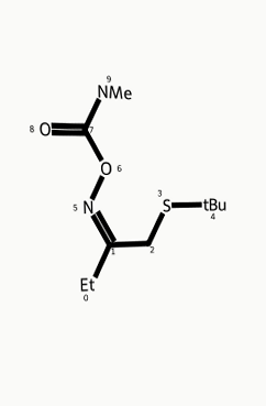 CCC(CSC(C)(C)C)=NOC(=O)NC